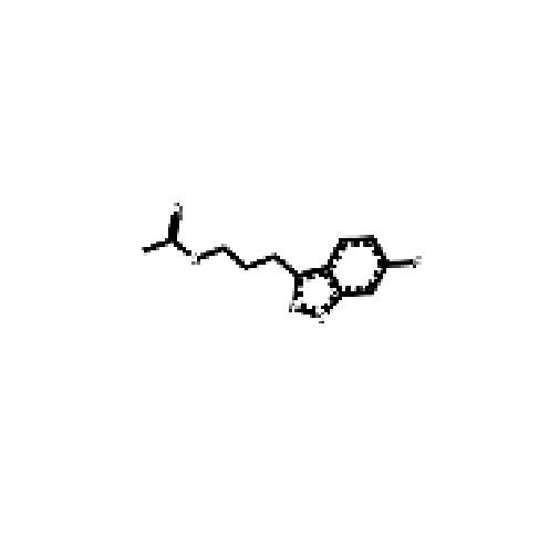 CC(=O)OCCCc1nsc2cc(F)ccc12